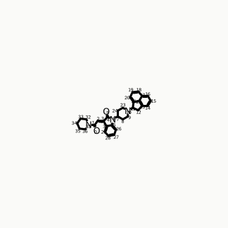 O=C(/C=C1/C(=O)N(C2CCN(C3Cc4cccc5cccc3c45)CC2)c2ccccc21)N1CCCCC1